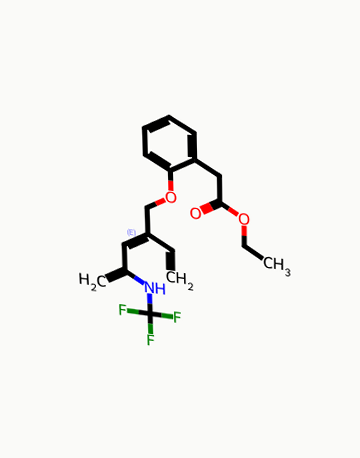 C=C/C(=C\C(=C)NC(F)(F)F)COc1ccccc1CC(=O)OCC